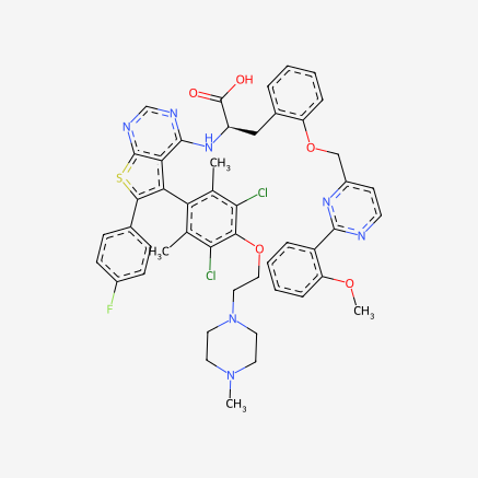 COc1ccccc1-c1nccc(COc2ccccc2C[C@@H](Nc2ncnc3sc(-c4ccc(F)cc4)c(-c4c(C)c(Cl)c(OCCN5CCN(C)CC5)c(Cl)c4C)c23)C(=O)O)n1